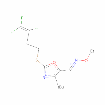 CCO/N=C/c1oc(SCCC(F)=C(F)F)nc1C(C)(C)C